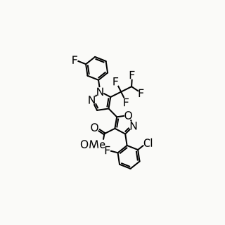 COC(=O)c1c(-c2c(F)cccc2Cl)noc1-c1cnn(-c2cccc(F)c2)c1C(F)(F)C(F)F